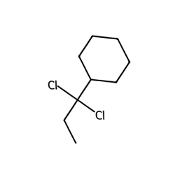 CCC(Cl)(Cl)C1CCCCC1